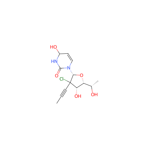 CC#CC1(Cl)[C@@H](O)[C@@H]([C@H](C)O)O[C@H]1N1C=CC(O)NC1=O